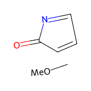 COC.O=C1C=CC=N1